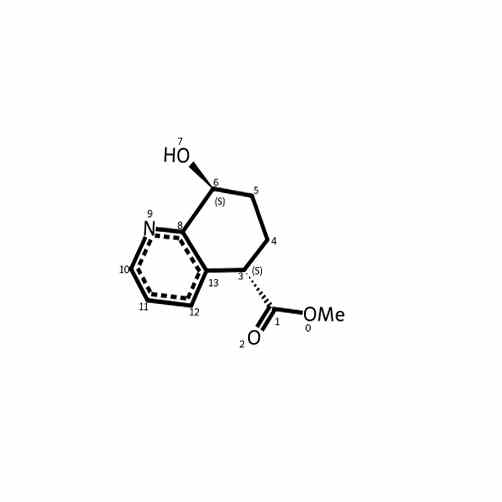 COC(=O)[C@H]1CC[C@H](O)c2ncccc21